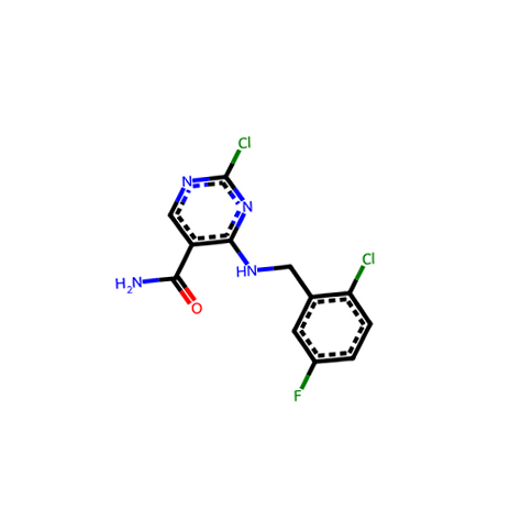 NC(=O)c1cnc(Cl)nc1NCc1cc(F)ccc1Cl